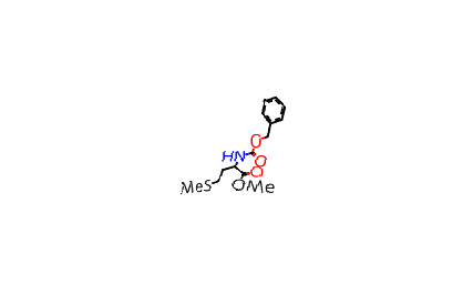 COC(=O)C(CCSC)NC(=O)OCc1ccccc1